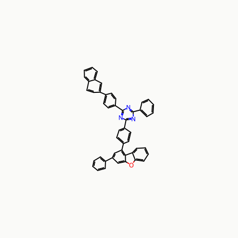 c1ccc(-c2cc(-c3ccc(-c4nc(-c5ccccc5)nc(-c5ccc(-c6ccc7ccccc7c6)cc5)n4)cc3)c3c(c2)oc2ccccc23)cc1